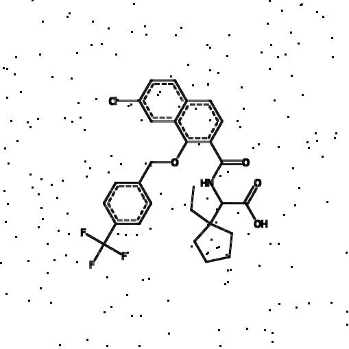 CCC1(C(NC(=O)c2ccc3ccc(Cl)cc3c2OCc2ccc(C(F)(F)F)cc2)C(=O)O)CCCC1